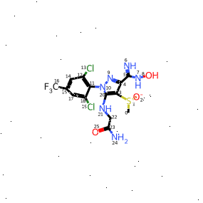 C[S+]([O-])c1c(C(=N)NO)nn(-c2c(Cl)cc(C(F)(F)F)cc2Cl)c1NCC(N)=O